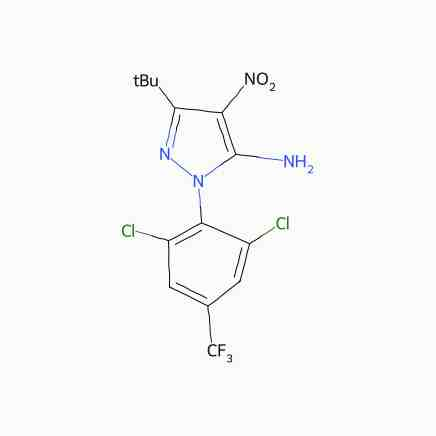 CC(C)(C)c1nn(-c2c(Cl)cc(C(F)(F)F)cc2Cl)c(N)c1[N+](=O)[O-]